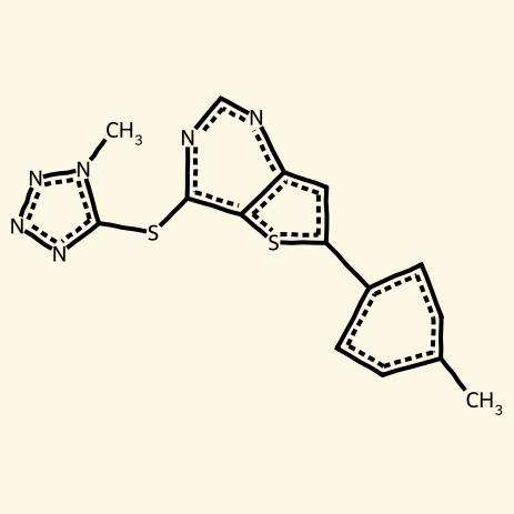 Cc1ccc(-c2cc3ncnc(Sc4nnnn4C)c3s2)cc1